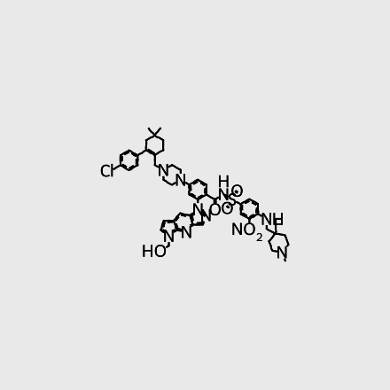 CN1CCC(F)(CNc2ccc(S(=O)(=O)NC(=O)c3ccc(N4CCN(CC5=C(c6ccc(Cl)cc6)CC(C)(C)CC5)CC4)cc3-n3ncc4nc5c(ccn5CO)cc43)cc2[N+](=O)[O-])CC1